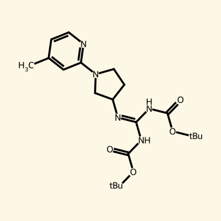 Cc1ccnc(N2CCC(N=C(NC(=O)OC(C)(C)C)NC(=O)OC(C)(C)C)C2)c1